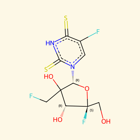 OC[C@@]1(F)O[C@@H](n2cc(F)c(=S)[nH]c2=S)C(O)(CF)[C@H]1O